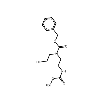 CC(C)(C)OC(=O)NCCN(CCO)C(=O)OCc1ccccc1